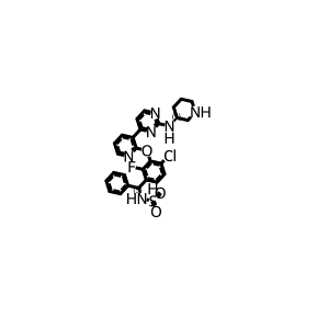 O=[SH](=O)N[C@@H](c1ccccc1)c1ccc(Cl)c(Oc2ncccc2-c2ccnc(N[C@H]3CCCNC3)n2)c1F